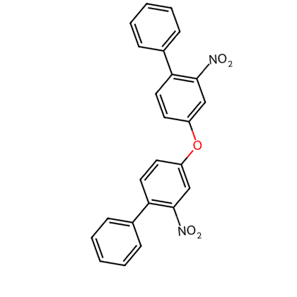 O=[N+]([O-])c1cc(Oc2ccc(-c3ccccc3)c([N+](=O)[O-])c2)ccc1-c1ccccc1